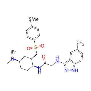 CSc1ccc(S(=O)(=O)C[C@@H]2C[C@H](N(C)C(C)C)CC[C@@H]2NC(=O)CNc2n[nH]c3ccc(C(F)(F)F)cc23)cc1